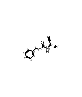 C#C[C@@H](NC(=O)OCc1ccccc1)C(C)C